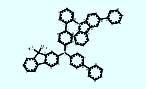 CC1(C)c2ccccc2-c2ccc(N(c3ccc(-c4ccccc4)cc3)c3ccc(-c4ccccc4-n4c5ccccc5c5cc(-c6ccccc6)ccc54)cc3)cc21